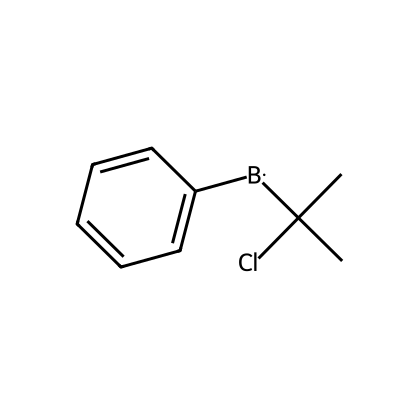 CC(C)(Cl)[B]c1ccccc1